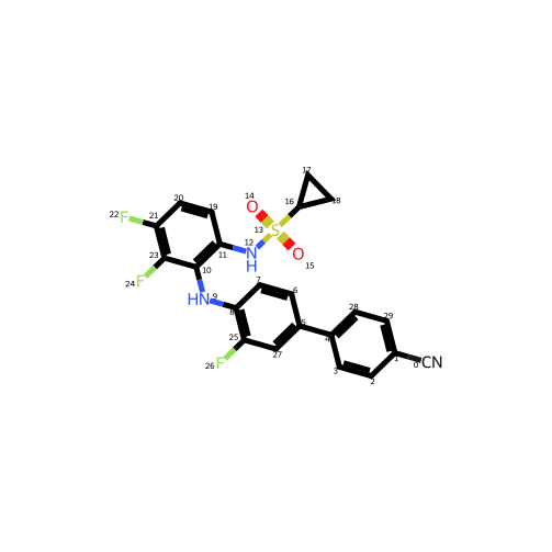 N#Cc1ccc(-c2ccc(Nc3c(NS(=O)(=O)C4CC4)ccc(F)c3F)c(F)c2)cc1